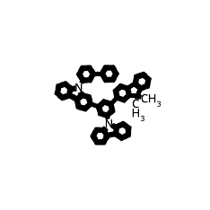 CC1(C)c2ccccc2-c2ccc(-c3cc(-c4ccc5c6ccccc6n(-c6cccc(-c7ccccc7)c6)c5c4)cc(-n4c5ccccc5c5ccccc54)c3)cc21